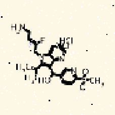 CC(C)c1c(C(O)c2ccc(S(C)(=O)=O)nc2)c2ncccc2n1C/C(F)=C/CN.Cl.Cl